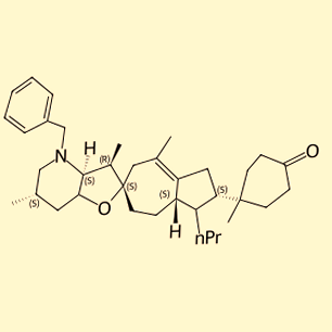 CCCC1[C@@H]2CC[C@@]3(CC(C)=C2C[C@@H]1C1(C)CCC(=O)CC1)OC1C[C@H](C)CN(Cc2ccccc2)[C@H]1[C@H]3C